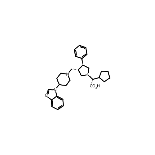 O=C(O)[C@@H](C1CCCC1)N1C[C@H](CN2CCC(n3cnc4ccccc43)CC2)[C@@H](c2ccccc2)C1